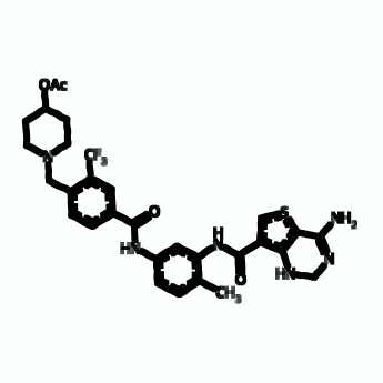 CC(=O)OC1CCN(Cc2ccc(C(=O)Nc3ccc(C)c(NC(=O)c4csc5c4NCN=C5N)c3)cc2C(F)(F)F)CC1